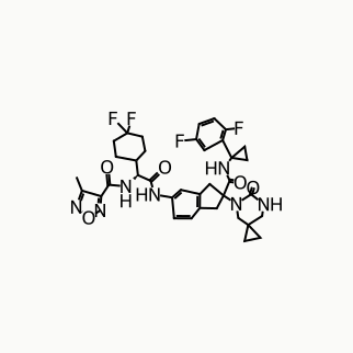 Cc1nonc1C(=O)N[C@H](C(=O)Nc1ccc2c(c1)CC(C(=O)NC1(c3cc(F)ccc3F)CC1)(N1CC3(CC3)CNC1=O)C2)C1CCC(F)(F)CC1